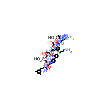 CCc1cc(OCCCCN)ccc1-c1ccc(C[C@H](NC(=O)[C@H](CC(=O)O)NC(=O)[C@H](CO)NC(=O)[C@@H](NC(=O)[C@](C)(Cc2ccccc2F)NC(=O)[C@@H](NC(=O)CNC(=O)[C@H](C/C(=N/N)NN)NC(=O)C(C)(C)C(=O)O)[C@@H](C)O)[C@@H](C)O)C(=O)N[C@@H](CCCc2cc(C)cc(C)c2)C(N)=O)cc1